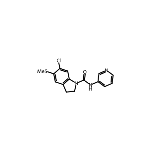 CSc1cc2c(cc1Cl)N(C(=O)Nc1cccnc1)CC2